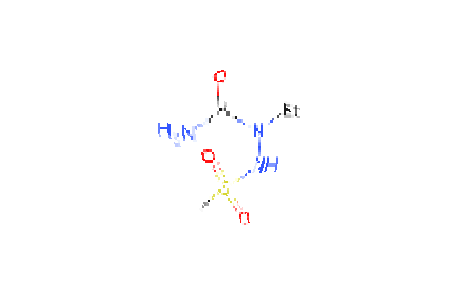 CCN(NS(C)(=O)=O)C(N)=O